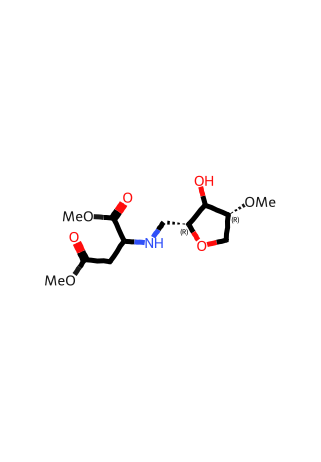 COC(=O)CC(NC[C@H]1OC[C@@H](OC)C1O)C(=O)OC